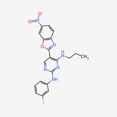 CCCNc1nc(Nc2cccc(F)c2)ncc1-c1nc2ccc([N+](=O)[O-])cc2o1